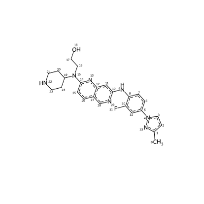 Cc1ccn(-c2ccc(Nc3cc4nc(N(CCO)C5CCNCC5)ccc4cn3)c(F)c2)n1